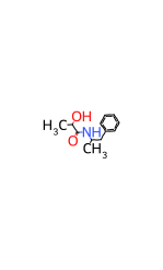 CC(Cc1ccccc1)NC(=O)C(C)O